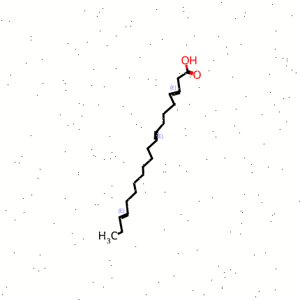 CC/C=C/CCCCCCC/C=C/CCC/C=C/CC(=O)O